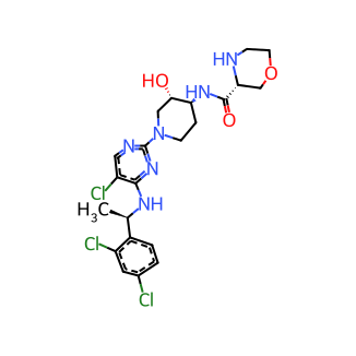 C[C@@H](Nc1nc(N2CC[C@H](NC(=O)[C@H]3COCCN3)[C@@H](O)C2)ncc1Cl)c1ccc(Cl)cc1Cl